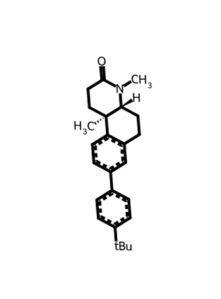 CN1C(=O)CC[C@]2(C)c3ccc(-c4ccc(C(C)(C)C)cc4)cc3CC[C@@H]12